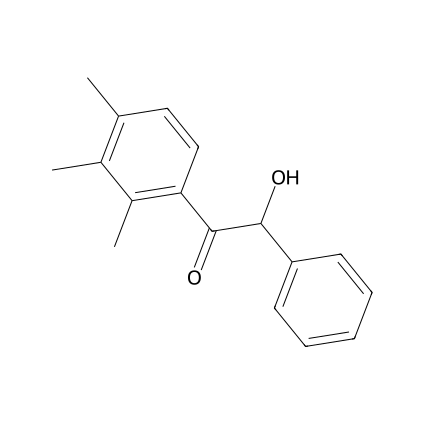 Cc1ccc(C(=O)C(O)c2ccccc2)c(C)c1C